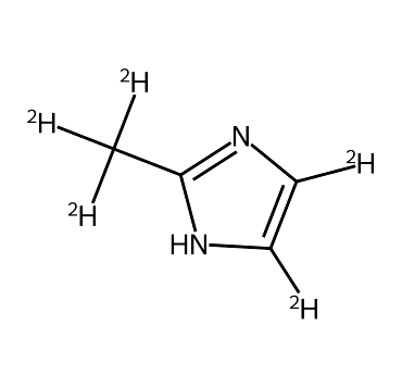 [2H]c1nc(C([2H])([2H])[2H])[nH]c1[2H]